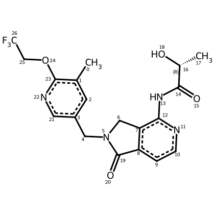 Cc1cc(CN2Cc3c(ccnc3NC(=O)[C@@H](C)O)C2=O)cnc1OCC(F)(F)F